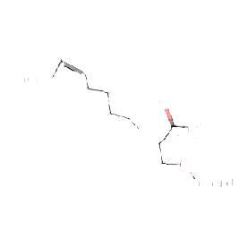 CCCCCCCC/C=C\CCCCC[C@@H](COCCCCC)C(=O)CCC